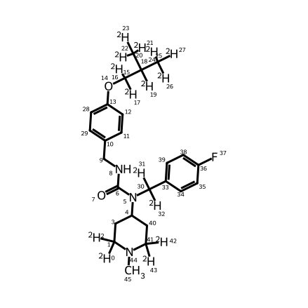 [2H]C1([2H])CC(N(C(=O)NCc2ccc(OC([2H])([2H])C([2H])(C([2H])([2H])[2H])C([2H])([2H])[2H])cc2)C([2H])([2H])c2ccc(F)cc2)CC([2H])([2H])N1C